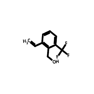 C=Cc1cccc(C(F)(F)F)c1CO